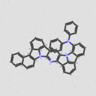 c1ccc(N(c2ccccc2)c2cccc3c4cccc5c6nc7c(cc6n(c23)c45)c2cccc3c4c5ccccc5ccc4n7c23)cc1